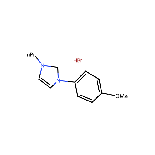 Br.CCCN1C=CN(c2ccc(OC)cc2)C1